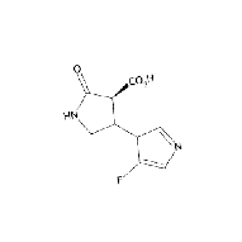 O=C(O)[C@@H]1C(=O)NCC1C1C=NC=C1F